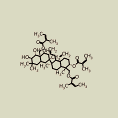 C=CCC1[C@@]2(C=C)CC[C@H](OC(=O)/C(C)=C\C)[C@](C)(COC(=O)/C(C)=C\C)C2CC[C@@]1(C)[C@@]1(C)CC2CC(C)(C)[C@@H](O)[C@H](O)[C@]2(COC(=O)/C(C)=C\C)[C@H](O)C1